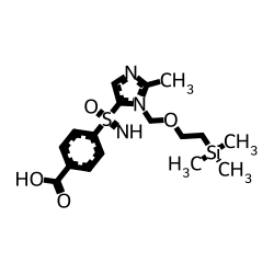 Cc1ncc(S(=N)(=O)c2ccc(C(=O)O)cc2)n1COCC[Si](C)(C)C